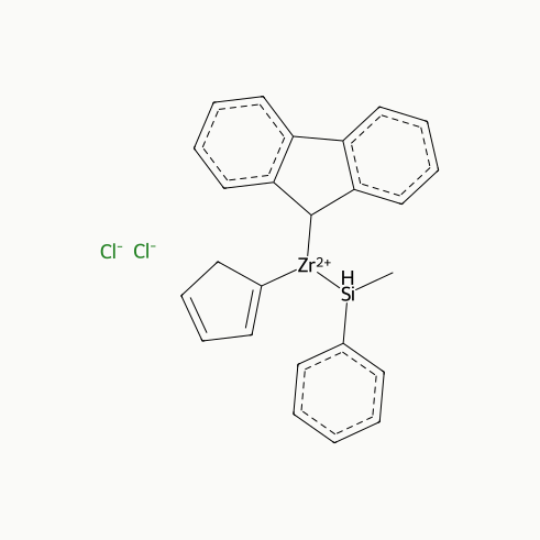 C[SiH](c1ccccc1)[Zr+2]([C]1=CC=CC1)[CH]1c2ccccc2-c2ccccc21.[Cl-].[Cl-]